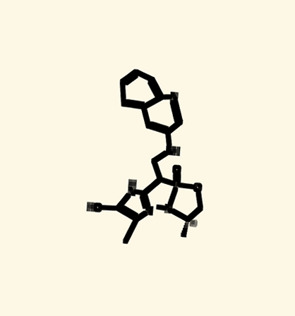 Cc1nc(C(CNc2cnc3ccccc3c2)P2(=O)OC[C@H](C)N2C)[nH]c1O